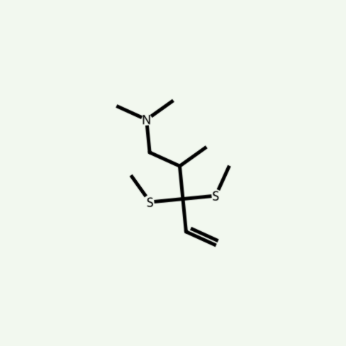 C=CC(SC)(SC)C(C)CN(C)C